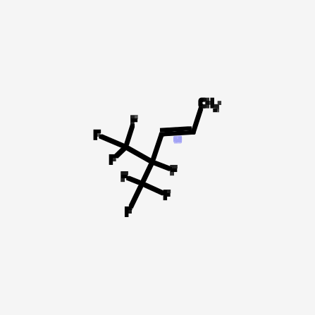 [CH2]/C=C/C(F)(C(F)(F)F)C(F)(F)F